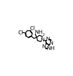 NCC1(CC2=CC=C(Cl)CC(Cl)=C2)CCN(c2ncnc3[nH]cnc23)CC1